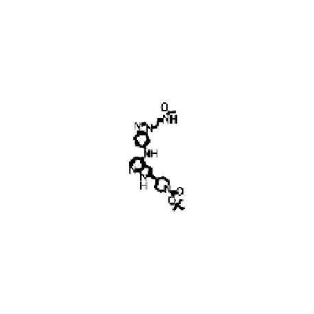 CC(=O)NCCn1cnc2ccc(Nc3ccnc4[nH]c(C5=CCN(C(=O)OC(C)(C)C)CC5)cc34)cc21